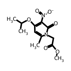 COC(=O)Cn1c(C)cc(OC(C)C)c([N+](=O)[O-])c1=O